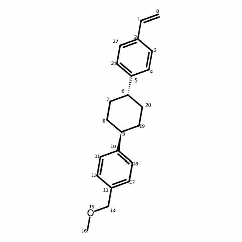 C=Cc1ccc([C@H]2CC[C@H](c3ccc(COC)cc3)CC2)cc1